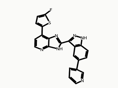 Fc1ccc(-c2ccnc3[nH]c(-c4n[nH]c5ccc(-c6cccnc6)cc45)nc23)s1